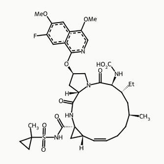 CC[C@@H]1C[C@@H](C)CC/C=C\[C@@H]2C[C@@]2(C(=O)NS(=O)(=O)C2(C)CC2)NC(=O)[C@@H]2C[C@@H](Oc3ncc(OC)c4cc(OC)c(F)cc34)CN2C(=O)[C@H]1NC(=O)O